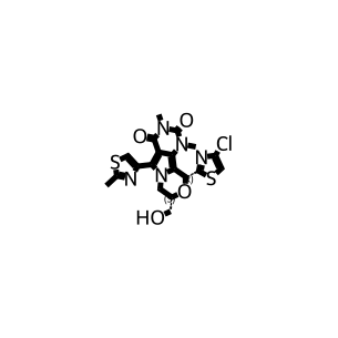 Cc1nc(-c2c3c(=O)n(C)c(=O)n(C)c3c3n2C[C@@H](CO)O[C@H]3c2nc(Cl)cs2)cs1